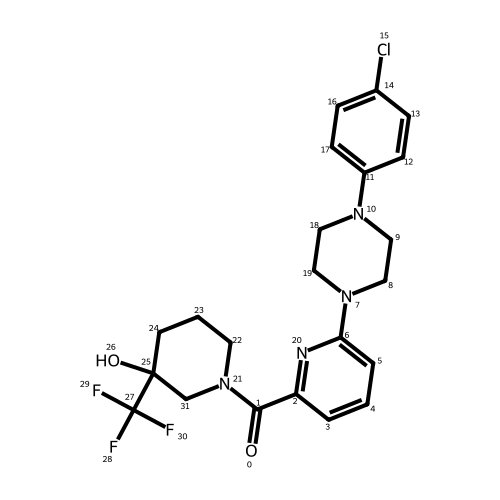 O=C(c1cccc(N2CCN(c3ccc(Cl)cc3)CC2)n1)N1CCCC(O)(C(F)(F)F)C1